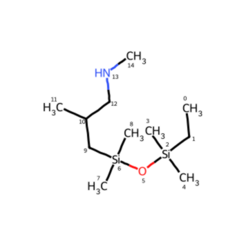 CC[Si](C)(C)O[Si](C)(C)CC(C)CNC